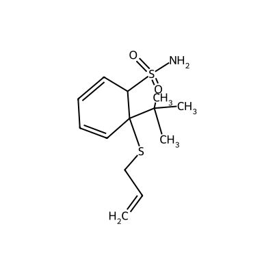 C=CCSC1(C(C)(C)C)C=CC=CC1S(N)(=O)=O